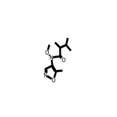 CON(C(=O)C(C)C(C)C)c1cnoc1C